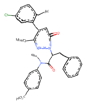 COc1nn(C(Cc2ccccc2)C(=O)N(c2ccc(C(=O)O)cc2)C(C)(C)C)c(=O)cc1-c1cc(Cl)ccc1C(C)=O